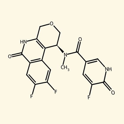 CN(C(=O)c1c[nH]c(=O)c(F)c1)[C@@H]1COCc2[nH]c(=O)c3cc(F)c(F)cc3c21